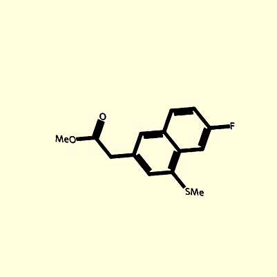 COC(=O)Cc1cc(SC)c2cc(F)ccc2c1